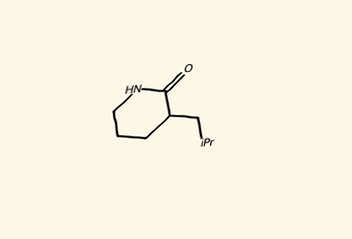 CC(C)CC1CCCNC1=O